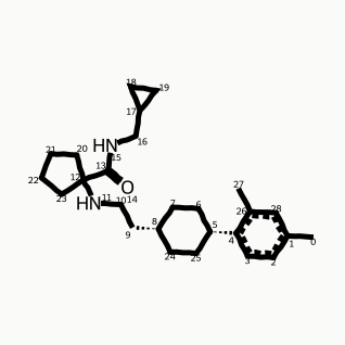 Cc1ccc([C@H]2CC[C@@H](CCNC3(C(=O)NCC4CC4)CCCC3)CC2)c(C)c1